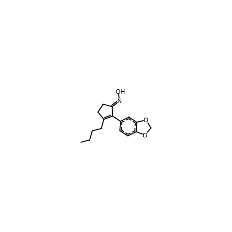 CCCCC1=C(c2ccc3c(c2)OCO3)C(=NO)CC1